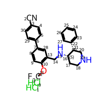 Cl.Cl.N#Cc1ccc(-c2ccc(OC(F)(F)F)c(CN[C@H]3CCNC[C@H]3c3ccccc3)c2)cc1